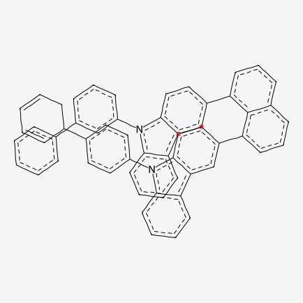 C1=CCC(c2ccc(-n3c4ccccc4c4cc(-c5cccc6cccc(-c7ccc8c(c7)c7ccccc7n8-c7cccc(-c8ccccc8)c7)c56)ccc43)cc2)C=C1